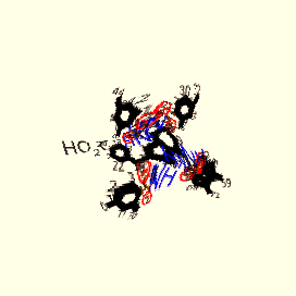 Cc1ccc(S(=O)(=O)Nc2cc3c(cc2Cc2ccc(C(=O)O)cc2)C(NS(=O)(=O)c2ccc(C)cc2C)(NS(=O)(=O)c2ccc(C)cc2C)CCC3(NS(=O)(=O)c2ccc(C)cc2C)NS(=O)(=O)c2ccc(C)cc2C)c(C)c1